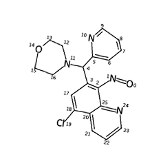 O=Nc1c(C(c2ccccn2)N2CCOCC2)cc(Cl)c2cccnc12